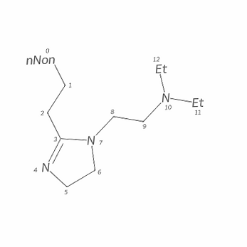 CCCCCCCCCCCC1=NCCN1CCN(CC)CC